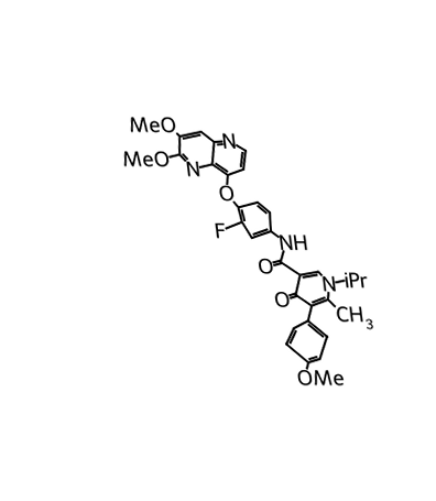 COc1ccc(-c2c(C)n(C(C)C)cc(C(=O)Nc3ccc(Oc4ccnc5cc(OC)c(OC)nc45)c(F)c3)c2=O)cc1